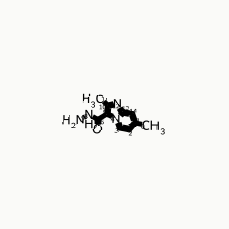 Cc1ccn2c(C(=O)NN)c(C)nc2c1